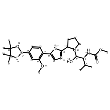 COC(=O)N[C@@H](C(C)C)C(O)N1CCCC1c1ncc(-c2ccc(B3OC(C)(C)C(C)(C)O3)cc2OC)[nH]1